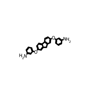 Nc1cccc(Oc2ccc3c(c2)Cc2cc(Oc4cccc(N)c4)ccc2-3)c1